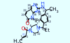 C/C=C/C(=O)N1CCN(C(CC)c2ccc(C(C)Nc3ncc4ccc(=O)n(C(C)C)c4n3)cc2)CC1